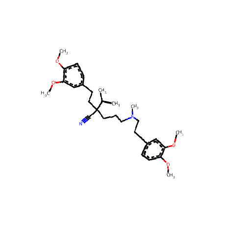 COc1ccc(CCN(C)CCCC(C#N)(CCc2ccc(OC)c(OC)c2)C(C)C)cc1OC